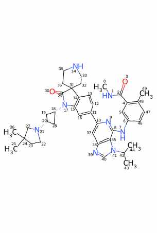 CNC(=O)c1cc(Nc2nc(-c3ccc4c(c3)N([C@H]3C[C@@H](N5CCC(C)(C)C5)C3)C(=O)C43CCNCC3)cc3ncn(C(C)C)c23)ccc1C